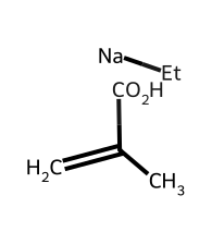 C=C(C)C(=O)O.C[CH2][Na]